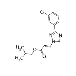 CC(C)COC(=O)C=Cn1cnc(-c2cccc(Cl)c2)n1